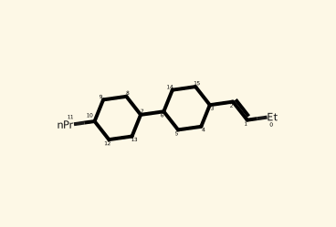 CC/C=C/C1CCC(C2CCC(CCC)CC2)CC1